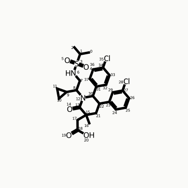 CC(C)S(=O)(=O)NCC(C1CC1)N1C(=O)C(C)(CC(=O)O)CC(c2cccc(Cl)c2)C1c1ccc(Cl)cc1